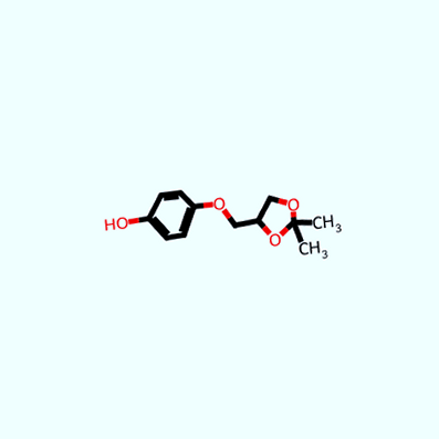 CC1(C)OCC(COc2ccc(O)cc2)O1